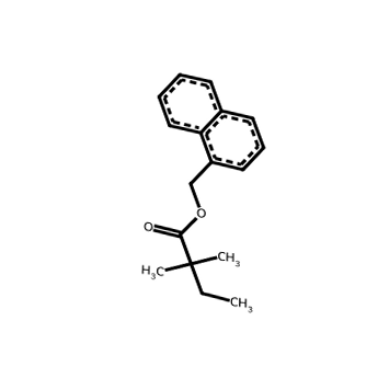 CCC(C)(C)C(=O)OCc1cccc2ccccc12